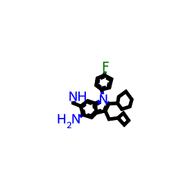 N=Cc1cc2c(cc1N)c(CC1CCC1)c(C1CCCCC1)n2-c1ccc(F)cc1